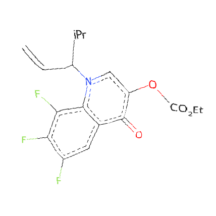 C=CC(C(C)C)n1cc(OC(=O)OCC)c(=O)c2cc(F)c(F)c(F)c21